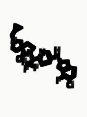 O=C1N(C(c2ccc(NC3Cc4ccc(Cl)c(F)c4C3)cn2)C(F)(F)F)CCC12CCN(CC1CC1)C2